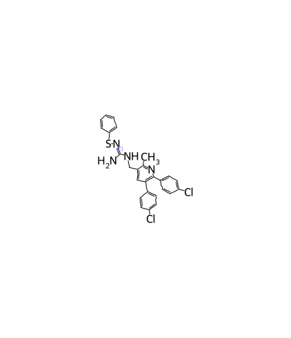 Cc1nc(-c2ccc(Cl)cc2)c(-c2ccc(Cl)cc2)cc1CN/C(N)=N/Sc1ccccc1